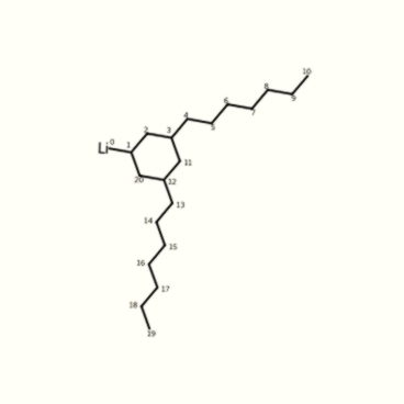 [Li][CH]1CC(CCCCCCC)CC(CCCCCCC)C1